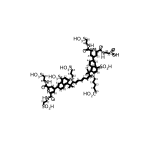 CC1(C)C(/C=C/C=C/C=C2/N(CCCCCC(=O)O)c3cc(S(=O)(=O)O)c4cc(-c5cc(C(=O)NCCS(=O)O)nc(C(=O)NCCS(=O)(=O)O)c5)ccc4c3C2(C)C)=[N+](CCCS(=O)(=O)O)c2cc(S(=O)(=O)O)c3cc(-c4cc(C(=O)NCCS(=O)(=O)O)nc(C(=O)NCCS(=O)(=O)O)c4)ccc3c21